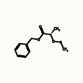 C[C@H](OSC(F)(F)F)C(=O)OCc1ccccc1